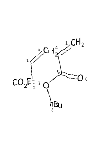 C=CC(=O)OCC.C=CC(=O)OCCCC